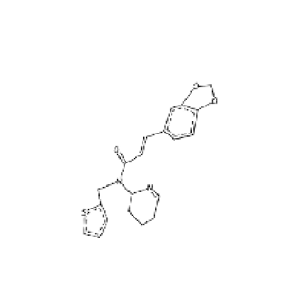 O=C(/C=C/c1ccc2c(c1)OCO2)N(Cc1cccs1)C1CCCC=N1